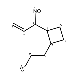 C=CC(N=O)C1CCC1CCC(C)=O